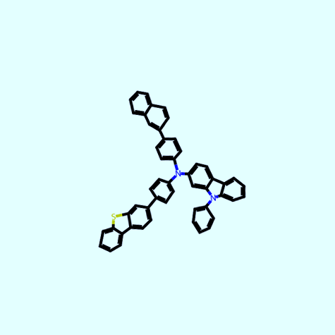 c1ccc(-n2c3ccccc3c3ccc(N(c4ccc(-c5ccc6ccccc6c5)cc4)c4ccc(-c5ccc6c(c5)sc5ccccc56)cc4)cc32)cc1